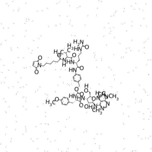 C=Nc1c(N(C)C)ncnc1N(C)[C@@H]1O[C@H](CO)[C@@H](NC(=O)[C@H](Cc2ccc(OC)cc2)NC(=O)OCc2ccc(NC(=O)[C@H](CCCNC(N)=O)NC(=O)[C@@H](NC(=O)CCCCCN3C(=O)C=CC3=O)C(C)C)cc2)[C@H]1O